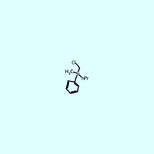 CCC[Si](C)(CCl)c1ccccc1